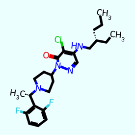 CCC[C@H](CC)CNc1cnn(C2CCN([C@@H](C)c3c(F)cccc3F)CC2)c(=O)c1Cl